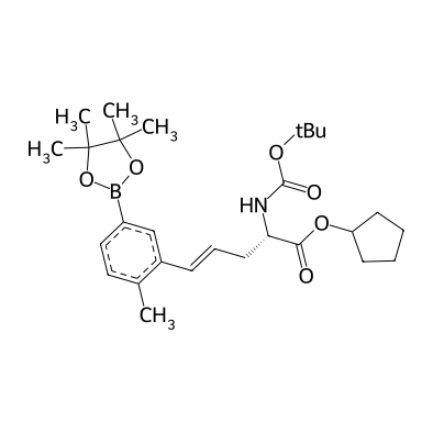 Cc1ccc(B2OC(C)(C)C(C)(C)O2)cc1/C=C/C[C@H](NC(=O)OC(C)(C)C)C(=O)OC1CCCC1